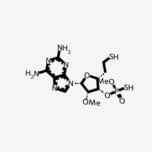 CO[C@H]1[C@@H](OP(=O)(S)OC)[C@@H](CCS)O[C@H]1n1cnc2c(N)nc(N)nc21